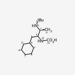 C[C@H](NC(C)(C)C)C(CC1CCCCC1)NC(=O)O